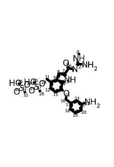 CNC(N)=NC(=O)c1cc2c(C)ccc(OCc3cccc(N)c3)c2[nH]1.CS(=O)(=O)O.CS(=O)(=O)O